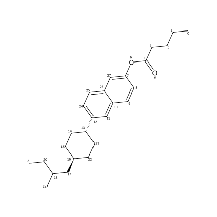 CCCCC(=O)Oc1ccc2cc([C@H]3CC[C@H](CC(C)CC)CC3)ccc2c1